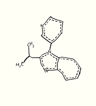 CC(C)c1nc2ccccc2n1-c1cccnc1